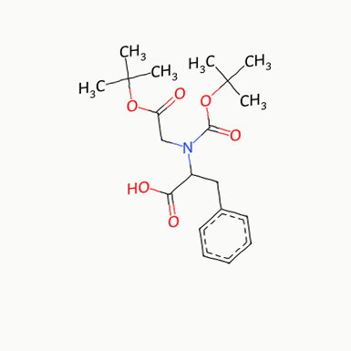 CC(C)(C)OC(=O)CN(C(=O)OC(C)(C)C)C(Cc1ccccc1)C(=O)O